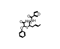 CC=CCC(CNC(=O)c1ccoc1)SC(Oc1ccccc1)C(N)=O